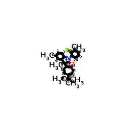 Cc1ccc2c(c1)C(C)(C1=CCC=C(C(C)(C)C)C=C1)C(=O)N2c1cccc(C)c1F